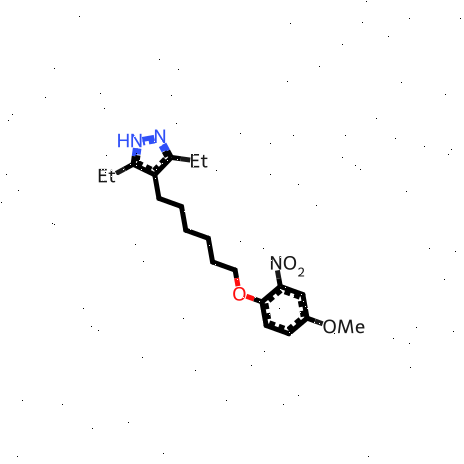 CCc1n[nH]c(CC)c1CCCCCCOc1ccc(OC)cc1[N+](=O)[O-]